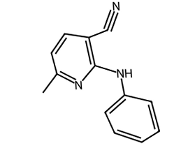 Cc1ccc(C#N)c(Nc2ccccc2)n1